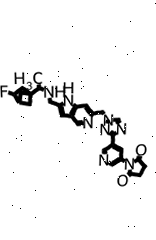 CC(NCc1cc2cnc(Cn3cnc(-c4cncc(N5C(=O)CCC5=O)c4)n3)cc2[nH]1)C12CC(F)C(C1)C2